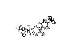 CC(C)(C)OC(=O)N1CC2CC(=O)N(c3ccc([N+](=O)[O-])nc3)CC2C1